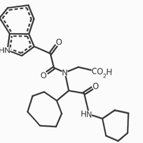 O=C(O)CN(C(=O)C(=O)c1c[nH]c2ccccc12)C(C(=O)NC1CCCCC1)C1CCCCCC1